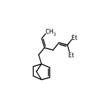 CC=C(CC=C(CC)CC)CC12C=CC(CC1)C2